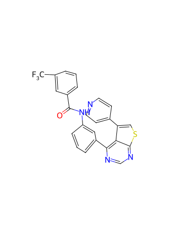 O=C(Nc1cccc(-c2ncnc3scc(-c4ccncc4)c23)c1)c1cccc(C(F)(F)F)c1